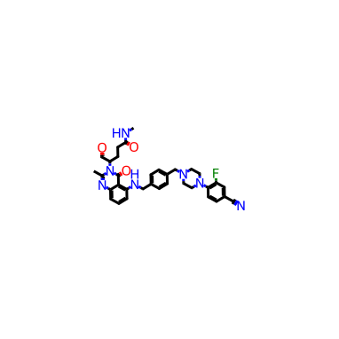 CNC(=O)CCC(C=O)n1c(C)nc2cccc(NCc3ccc(CN4CCN(c5ccc(C#N)cc5F)CC4)cc3)c2c1=O